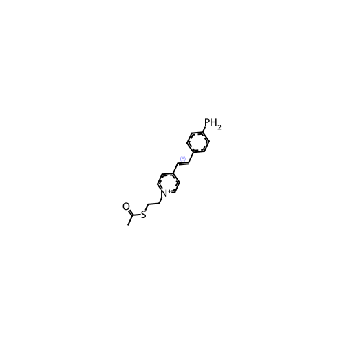 CC(=O)SCC[n+]1ccc(/C=C/c2ccc(P)cc2)cc1